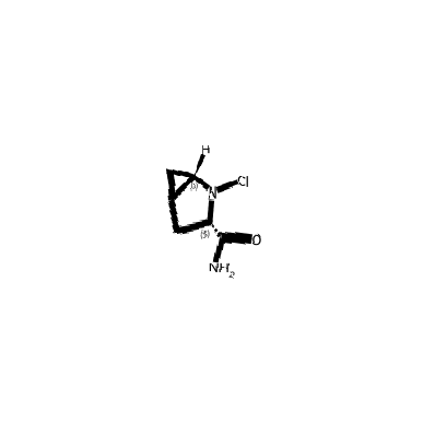 NC(=O)[C@@H]1CC2C[C@@H]2N1Cl